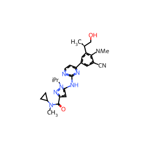 CNc1c(C#N)cc(-c2ccnc(Nc3cc(C(=O)N(C)C4CC4)nn3C(C)C)n2)cc1[C@@H](C)CO